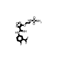 N=C(Nc1ccc(F)c(C(F)F)c1)c1nonc1OCCNS(N)(=O)=O